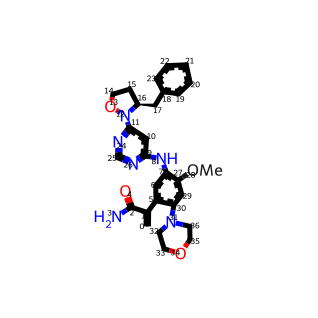 C=C(C(N)=O)c1cc(Nc2cc(N3OCC[C@H]3Cc3ccccc3)ncn2)c(OC)cc1N1CCOCC1